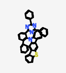 c1ccc(-c2nc(-c3ccccc3)nc(-c3cccc(-c4ccccc4)c3-n3c4ccccc4c4cc5sc6ccccc6c5cc43)n2)cc1